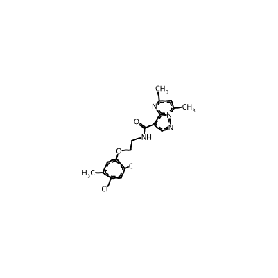 Cc1cc(C)n2ncc(C(=O)NCCOc3cc(C)c(Cl)cc3Cl)c2n1